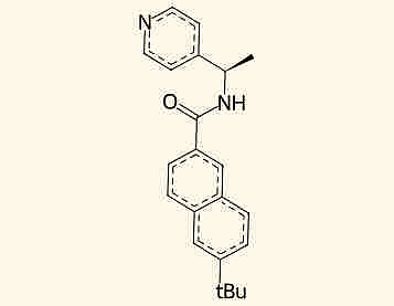 C[C@@H](NC(=O)c1ccc2cc(C(C)(C)C)ccc2c1)c1ccncc1